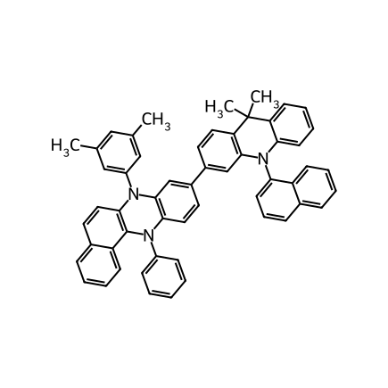 Cc1cc(C)cc(N2c3cc(-c4ccc5c(c4)N(c4cccc6ccccc46)c4ccccc4C5(C)C)ccc3N(c3ccccc3)c3c2ccc2ccccc32)c1